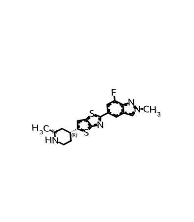 C[C@H]1C[C@H](c2cc3sc(-c4cc(F)c5nn(C)cc5c4)nc3s2)CCN1